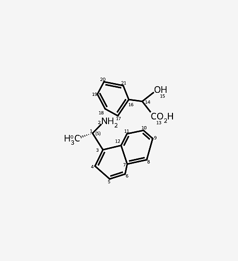 C[C@H](N)c1cccc2ccccc12.O=C(O)C(O)c1ccccc1